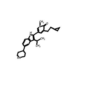 CC(C)c1c(-c2cc(CCC3CC3)c(=O)n(C)c2)[nH]c2ccc(C3CCNCC3)cc12